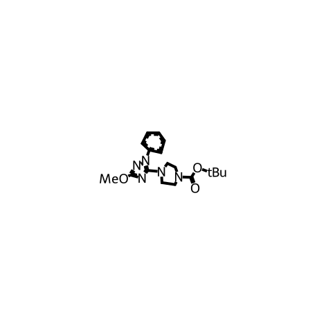 COc1nc(N2CCN(C(=O)OC(C)(C)C)CC2)n(-c2ccccc2)n1